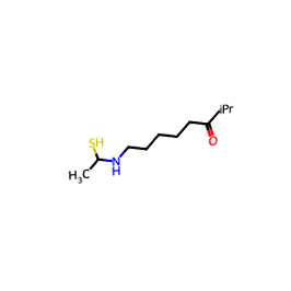 CC(S)NCCCCCC(=O)C(C)C